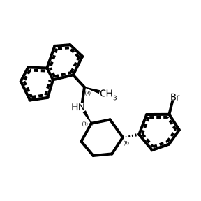 C[C@@H](N[C@@H]1CCC[C@@H](c2cccc(Br)c2)C1)c1cccc2ccccc12